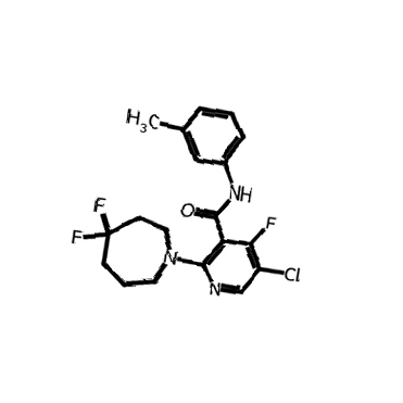 Cc1cccc(NC(=O)c2c(N3CCCC(F)(F)CC3)ncc(Cl)c2F)c1